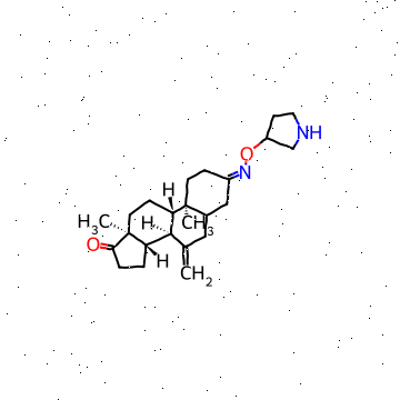 C=C1CC2C/C(=N/OC3CCNC3)CC[C@]2(C)[C@H]2CC[C@]3(C)C(=O)CC[C@H]3[C@H]12